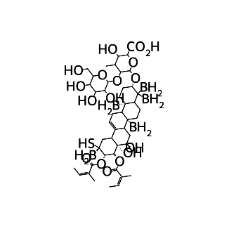 BC1(B)C2CC[C@@]3(B)C4C[C@@H](O)[C@]5(CO)C(C[C@@](B)(S)[C@@H](OC(=O)/C(C)=C\C)[C@@H]5OC(=O)/C(C)=C\C)C4=CCC3[C@@]2(B)CC[C@@H]1OC1OC(C(=O)O)C(O)C(C)C1OC1OC(CO)C(O)C(O)C1O